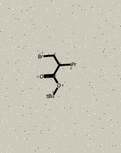 CC(C)C(CBr)C(=O)OC(C)(C)C